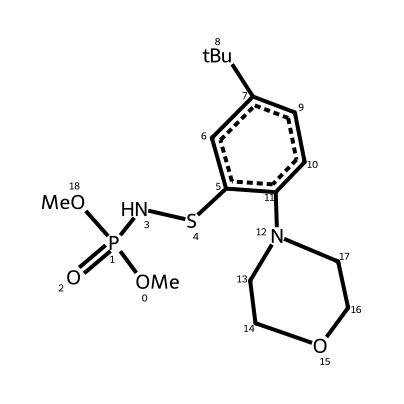 COP(=O)(NSc1cc(C(C)(C)C)ccc1N1CCOCC1)OC